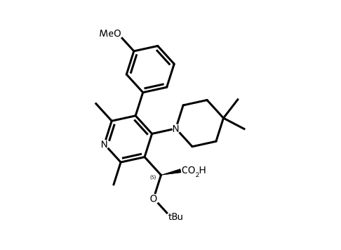 COc1cccc(-c2c(C)nc(C)c([C@H](OC(C)(C)C)C(=O)O)c2N2CCC(C)(C)CC2)c1